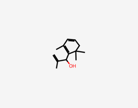 C=C(C)C(O)C1=C(C)C=CCC1(C)C